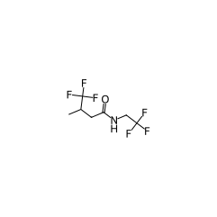 CC(CC(=O)NCC(F)(F)F)C(F)(F)F